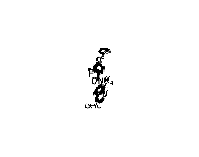 Cc1c(NC(=O)c2ccc(OC[C@@H]3CCCO3)cc2F)ccc2cc(C=O)cnc12